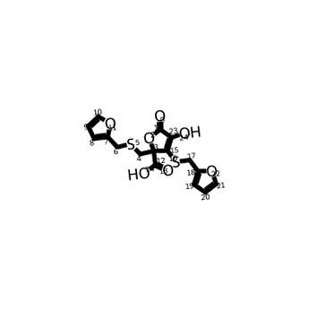 O=C1OC(CSCc2ccco2)(C(=O)O)C(SCc2ccco2)=C1O